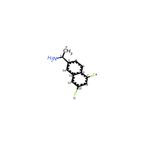 CC(N)c1ccc2c(F)cc(F)cc2c1